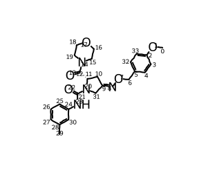 COc1ccc(CO/N=C2\C[C@@H](C(=O)N3CCOCC3)N(C(=O)Nc3cccc(C)c3)C2)cc1